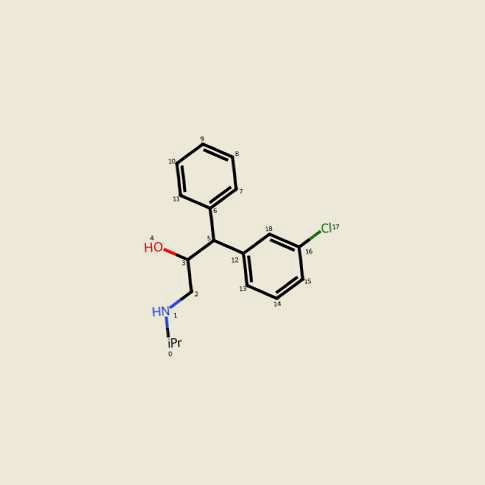 CC(C)NCC(O)C(c1ccccc1)c1cccc(Cl)c1